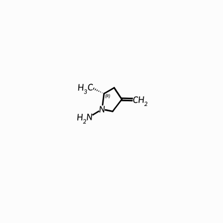 C=C1C[C@@H](C)N(N)C1